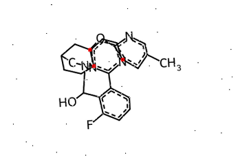 Cc1ccc(OC2CC3CCC2N(C(O)c2c(F)cccc2-c2ncccn2)C3)nc1